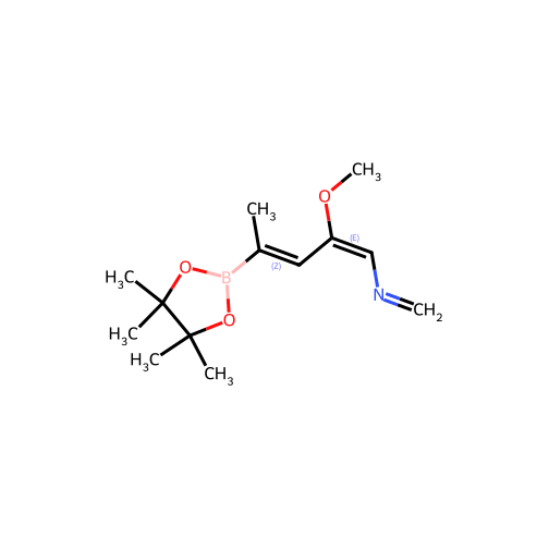 C=N/C=C(\C=C(/C)B1OC(C)(C)C(C)(C)O1)OC